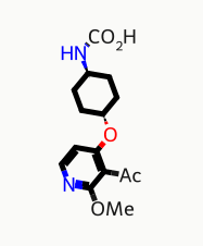 COc1nccc(O[C@H]2CC[C@H](NC(=O)O)CC2)c1C(C)=O